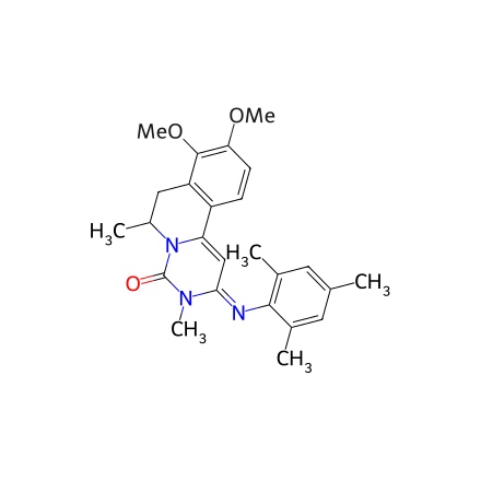 COc1ccc2c(c1OC)CC(C)n1c-2cc(=Nc2c(C)cc(C)cc2C)n(C)c1=O